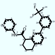 O=C(Nc1cccnc1)C1CCCc2ccc(-c3cccc(C(F)(F)F)c3)nc21